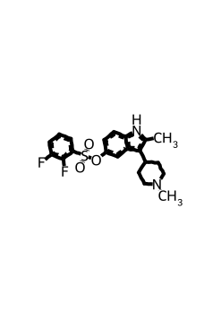 Cc1[nH]c2ccc(OS(=O)(=O)c3cccc(F)c3F)cc2c1C1CCN(C)CC1